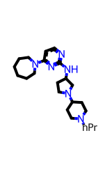 CCCN1CCC(N2CCC(Nc3nccc(N4CCCCCC4)n3)C2)CC1